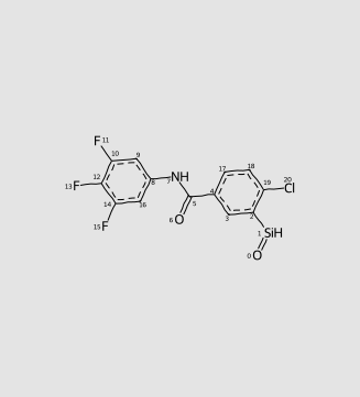 O=[SiH]c1cc(C(=O)Nc2cc(F)c(F)c(F)c2)ccc1Cl